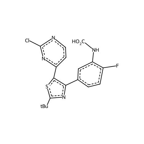 CC(C)(C)c1nc(-c2ccc(F)c(NC(=O)O)c2)c(-c2ccnc(Cl)n2)s1